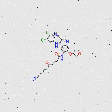 CNCCCCCC(=O)C/C=C/C(=O)Nc1cc2c(Nc3ccc(F)c(Cl)c3)c(C#N)cnc2cc1O[C@H]1CCOC1